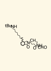 CC(CCC(=O)NC=O)N1Cc2c(SCCCCCCCNC(C)(C)C)cccc2C1=O